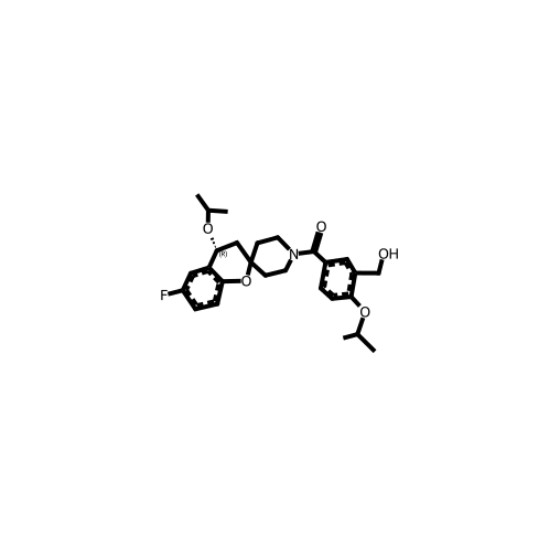 CC(C)Oc1ccc(C(=O)N2CCC3(CC2)C[C@@H](OC(C)C)c2cc(F)ccc2O3)cc1CO